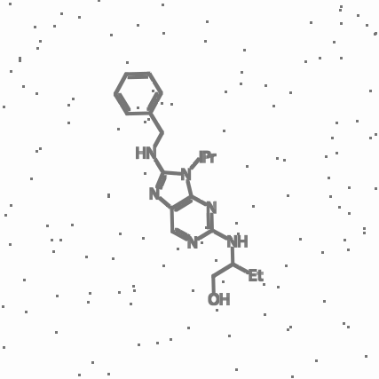 CCC(CO)Nc1ncc2nc(NCc3ccccc3)n(C(C)C)c2n1